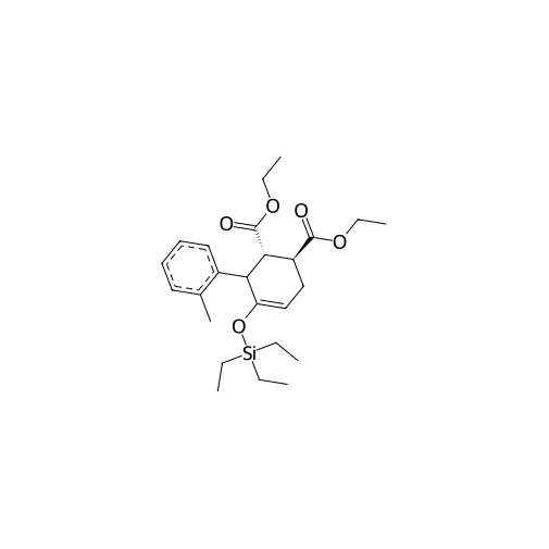 CCOC(=O)[C@H]1CC=C(O[Si](CC)(CC)CC)C(c2ccccc2C)[C@@H]1C(=O)OCC